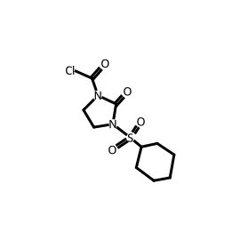 O=C(Cl)N1CCN(S(=O)(=O)C2CCCCC2)C1=O